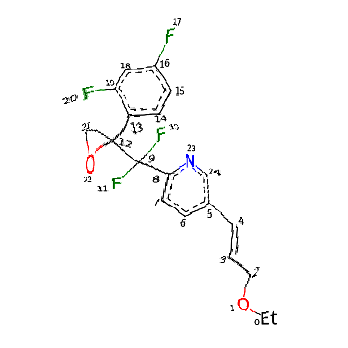 CCOC/C=C/c1ccc(C(F)(F)C2(c3ccc(F)cc3F)CO2)nc1